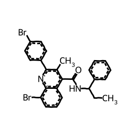 CCC(NC(=O)c1c(C)c(-c2ccc(Br)cc2)nc2c(Br)cccc12)c1ccccc1